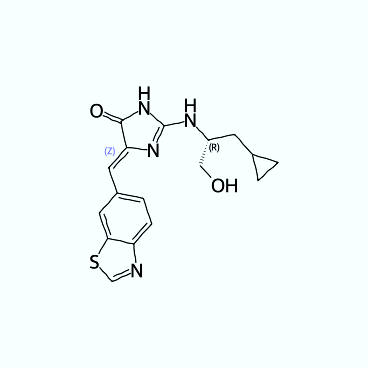 O=C1NC(N[C@@H](CO)CC2CC2)=N/C1=C\c1ccc2ncsc2c1